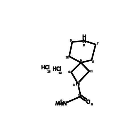 CNC(=O)N1CC2(CCNCC2)C1.Cl.Cl